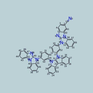 N#Cc1ccc2nc3n(-c4cccc(-n5c6ccccc6c6c7ccccc7n(-c7cccc(-n8c9ccccc9n9c%10ccccc%10nc89)c7)c65)c4)c4ccccc4n3c2c1